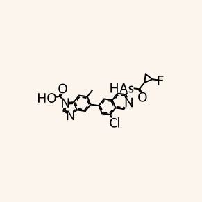 Cc1cc2c(cc1-c1cc(Cl)c3cnc([AsH]C(=O)C4CC4F)cc3c1)ncn2C(=O)O